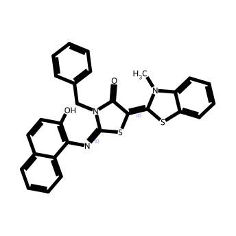 CN1/C(=C2/S/C(=N/c3c(O)ccc4ccccc34)N(Cc3ccccc3)C2=O)Sc2ccccc21